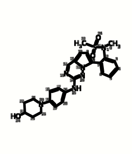 CN(c1ccccc1-c1ccc2cnc(Nc3ccc(N4CCC(O)CC4)cc3)nn12)S(C)(=O)=O